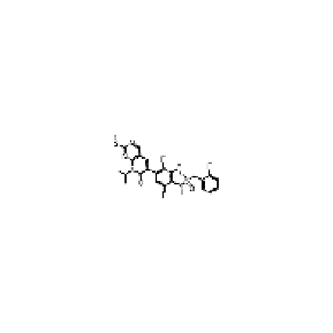 CSc1ncc2cc(-c3cc(F)c(NS(=O)(=O)Cc4ccccc4F)c(F)c3F)c(=O)n(C(C)C)c2n1